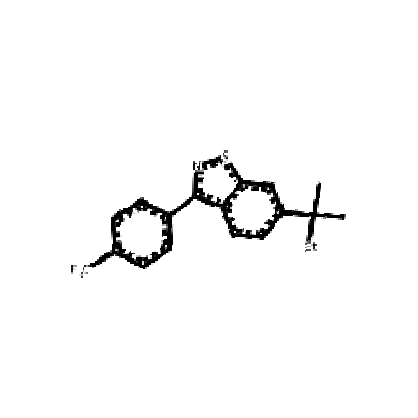 [CH2]CC(C)(C)c1ccc2c(-c3ccc(C(F)(F)F)cc3)nsc2c1